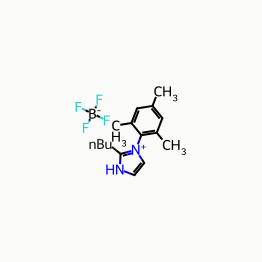 CCCCc1[nH]cc[n+]1-c1c(C)cc(C)cc1C.F[B-](F)(F)F